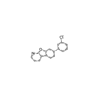 Clc1cccc(-c2ccc3c(c2)oc2ncccc23)c1